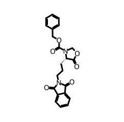 O=C1OCN(C(=O)OCc2ccccc2)[C@H]1CCCN1C(=O)c2ccccc2C1=O